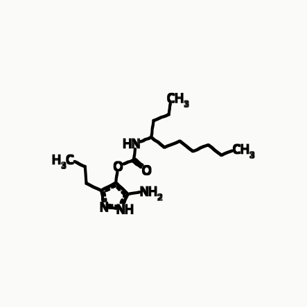 CCCCCCC(CCC)NC(=O)Oc1c(CCC)n[nH]c1N